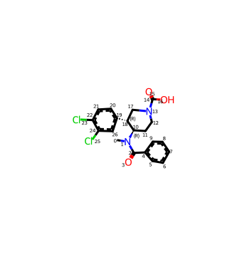 CN(C(=O)c1ccccc1)[C@@H]1CCN(C(=O)O)C[C@H]1c1ccc(Cl)c(Cl)c1